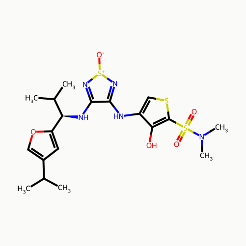 CC(C)c1coc([C@H](Nc2n[s+]([O-])nc2Nc2csc(S(=O)(=O)N(C)C)c2O)C(C)C)c1